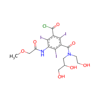 COCC(=O)Nc1c(I)c(C(=O)Cl)c(I)c(C(=O)N(CCO)CC(O)CO)c1I